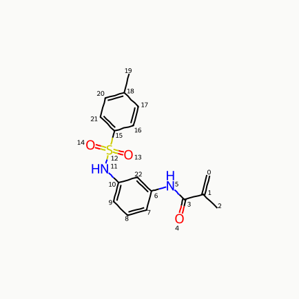 C=C(C)C(=O)Nc1cccc(NS(=O)(=O)c2ccc(C)cc2)c1